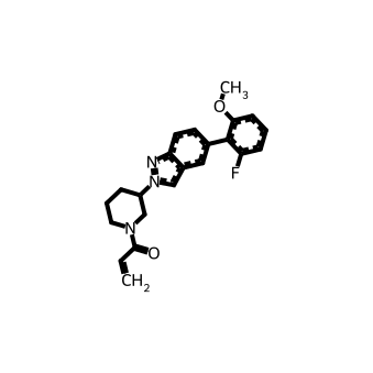 C=CC(=O)N1CCCC(n2cc3cc(-c4c(F)cccc4OC)ccc3n2)C1